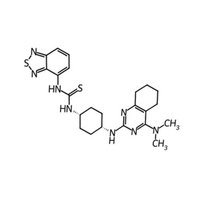 CN(C)c1nc(N[C@H]2CC[C@@H](NC(=S)Nc3cccc4nsnc34)CC2)nc2c1CCCC2